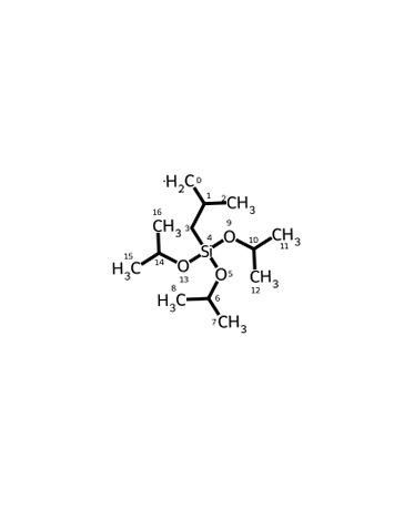 [CH2]C(C)C[Si](OC(C)C)(OC(C)C)OC(C)C